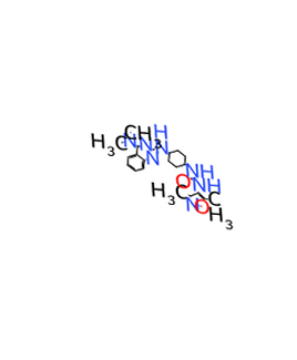 Cc1noc(C)c1NC(=O)N[C@H]1CC[C@@H](Nc2nc(N(C)C)c3ccccc3n2)CC1